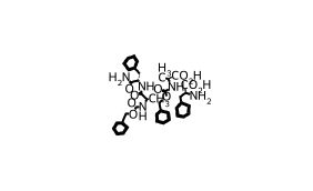 C[C@H](NC(=O)OCc1ccccc1)C(=O)N[C@@H](Cc1ccccc1)C(N)=O.C[C@H](NC(=O)OCc1ccccc1)C(=O)O.N[C@@H](Cc1ccccc1)C(=O)O